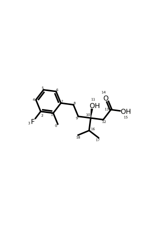 Cc1c(F)cccc1CC[C@](O)(CC(=O)O)C(C)C